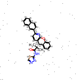 CC(C)(C(=O)Nc1nncs1)[C@H]1c2ccccc2Oc2nc(-c3ccc4ccccc4c3)ccc21